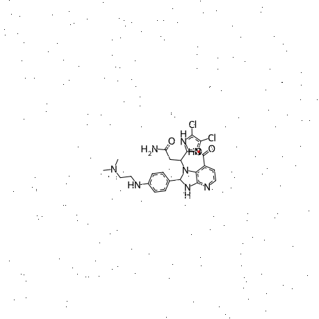 CN(C)CCNc1ccc(C2Nc3nccc(C(=O)O)c3N2C(CC(N)=O)c2nc(Cl)c(Cl)[nH]2)cc1